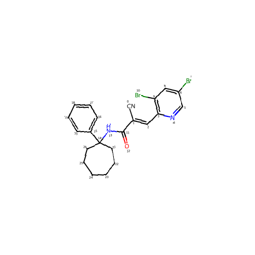 N#C/C(=C\c1ncc(Br)cc1Br)C(=O)NC1(c2ccccc2)CCCCCC1